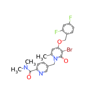 Cc1cc(OCc2ccc(F)cc2F)c(Br)c(=O)n1Cc1ccc(C(=O)N(C)C)nc1